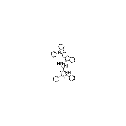 C1=C(C2N=C(c3ccccc3)N=C(c3ccccc3)N2)NC(n2c3ccccc3c3cc4c5ccccc5n(-c5ccccc5)c4cc32)N1